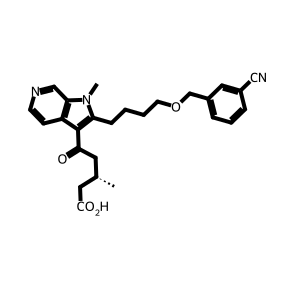 C[C@H](CC(=O)O)CC(=O)c1c(CCCCOCc2cccc(C#N)c2)n(C)c2cnccc12